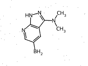 Bc1cnc2[nH]nc(N(C)C)c2c1